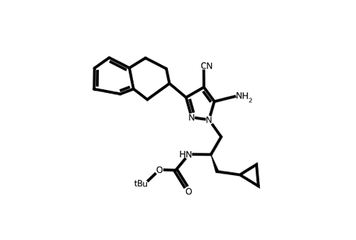 CC(C)(C)OC(=O)N[C@H](CC1CC1)Cn1nc(C2CCc3ccccc3C2)c(C#N)c1N